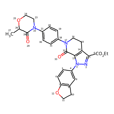 CCOC(=O)c1nn(-c2ccc3c(c2)CCO3)c2c1CCN(c1ccc(N3CCOC(C)C3=O)cc1)C2=O